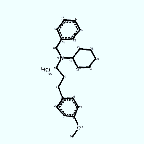 COc1ccc(CCCN(Cc2ccccc2)C2CCCCC2)cc1.Cl